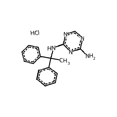 CC(Nc1ncnc(N)n1)(c1ccccc1)c1ccccc1.Cl